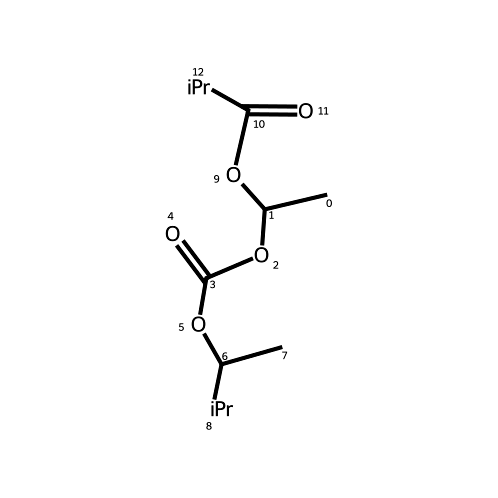 CC(OC(=O)OC(C)C(C)C)OC(=O)C(C)C